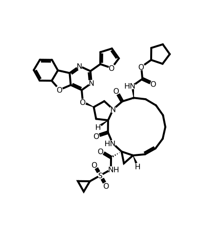 O=C(N[C@H]1CCCCC/C=C\[C@@H]2C[C@@]2(C(=O)NS(=O)(=O)C2CC2)NC(=O)[C@@H]2C[C@@H](Oc3nc(-c4ccco4)nc4c3OC3C=CC=CC43)CN2C1=O)OC1CCCC1